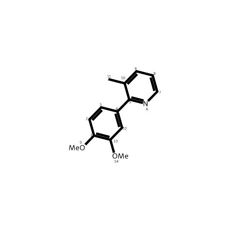 COc1ccc(-c2ncccc2C)cc1OC